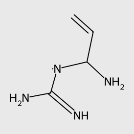 C=CC(N)[N]C(=N)N